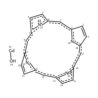 C1=Cc2cc3ccc(cc4nc(cc5ccc(cc1n2)[nH]5)C=C4)[nH]3.[OH][Gd]